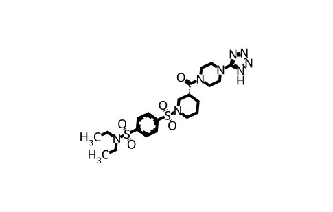 CCN(CC)S(=O)(=O)c1ccc(S(=O)(=O)N2CCC[C@@H](C(=O)N3CCN(c4nnn[nH]4)CC3)C2)cc1